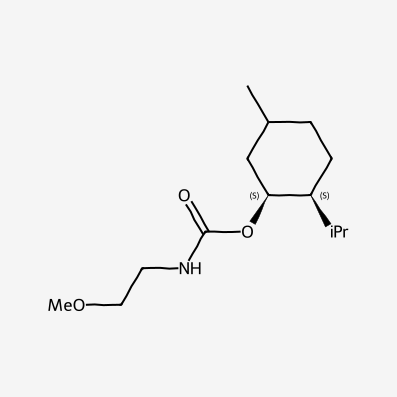 COCCNC(=O)O[C@H]1CC(C)CC[C@H]1C(C)C